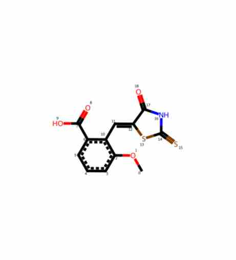 COc1cccc(C(=O)O)c1C=C1SC(=S)NC1=O